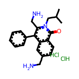 CC(C)Cn1c(CN)c(-c2ccccc2)c2cc(CN)ccc2c1=O.Cl.Cl